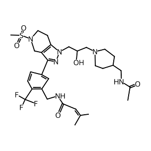 CC(=O)NCC1CCN(CC(O)Cn2nc(-c3ccc(C(F)(F)F)c(CNC(=O)C=C(C)C)c3)c3c2CCN(S(C)(=O)=O)C3)CC1